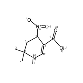 CC1(C)CC([N+](=O)[O-])C(C(=O)O)=CN1